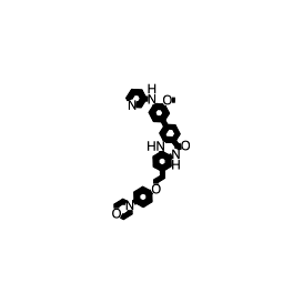 COc1cc(C2=CC3=C(CC2)C(=O)Nc2cc(CCOc4ccc(N5CCOCC5)cc4)ccc2N3)ccc1Nc1cccnc1